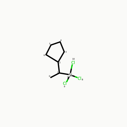 CC(C1CCCC1)[Si](Cl)(Cl)Cl